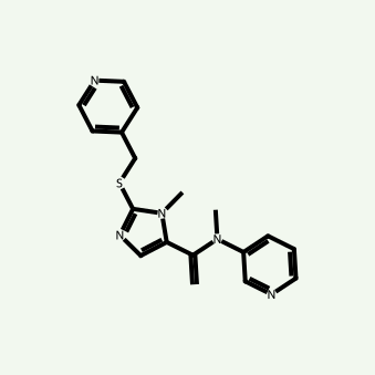 C=C(c1cnc(SCc2ccncc2)n1C)N(C)c1cccnc1